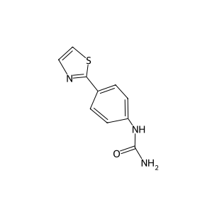 NC(=O)Nc1ccc(-c2nccs2)cc1